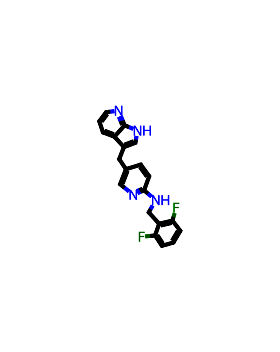 Fc1cccc(F)c1CNc1ccc(Cc2c[nH]c3ncccc23)cn1